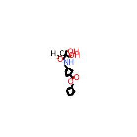 CC(CO)(CO)C(=O)NCc1ccc(C(=O)OCc2ccccc2)cc1